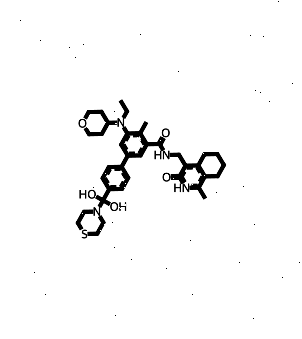 CCN(c1cc(-c2ccc(C(O)(O)N3CCSCC3)cc2)cc(C(=O)NCc2c3c(c(C)[nH]c2=O)CCCC3)c1C)C1CCOCC1